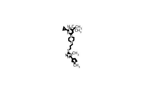 Cn1ccc(-c2nnc(SCCCN3CCN(c4cc(C(C)(C)C)nc(C5CC5)n4)CC3)n2C)c1